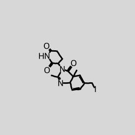 CC1=NC2C=CC(CI)=CC2(C)C(=O)N1C1CCC(=O)NC1=O